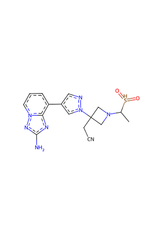 CC(N1CC(CC#N)(n2cc(-c3cccn4nc(N)nc34)cn2)C1)[SH](=O)=O